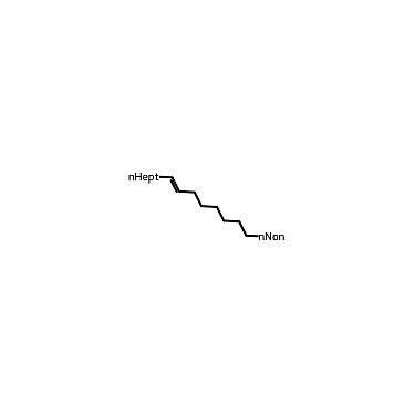 CCCCCCCC=CCCCCCCCCCCCCCCC